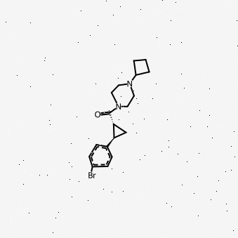 O=C([C@@H]1C[C@H]1c1ccc(Br)cc1)N1CCN(C2CCC2)CC1